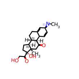 C/N=C1\C=CC2C(=C1)CC[C@@H]1[C@@H]2C(=O)C[C@@]2(C)[C@H]1CC[C@]2(O)C(=O)CO